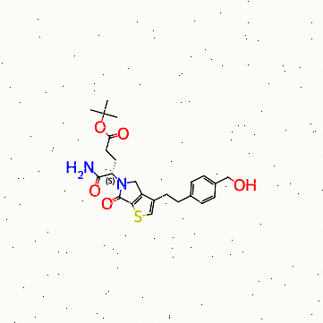 CC(C)(C)OC(=O)CC[C@@H](C(N)=O)N1Cc2c(CCc3ccc(CO)cc3)csc2C1=O